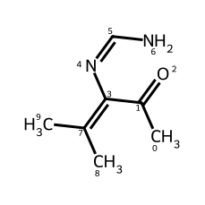 CC(=O)C(/N=C\N)=C(C)C